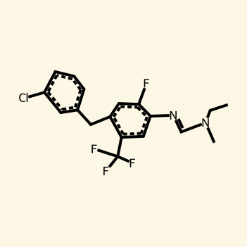 CCN(C)C=Nc1cc(C(F)(F)F)c(Cc2cccc(Cl)c2)cc1F